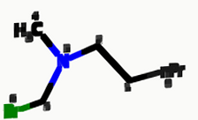 CCCCCN(C)CBr